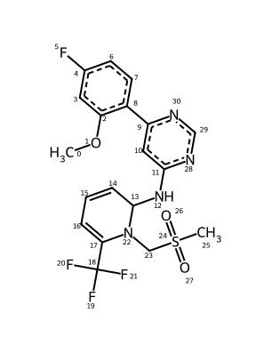 COc1cc(F)ccc1-c1cc(NC2C=CC=C(C(F)(F)F)N2CS(C)(=O)=O)ncn1